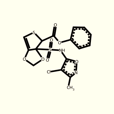 Cc1noc(NS(=O)(=O)C23OCOC2=CSC3C(=O)Oc2ccccc2)c1Cl